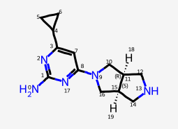 Nc1nc(C2CC2)cc(N2C[C@H]3CNC[C@H]3C2)n1